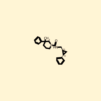 CC1(c2ccccc2)CCCN(C(=O)NC[C@H]2C[C@@H]2c2ccccc2)C1